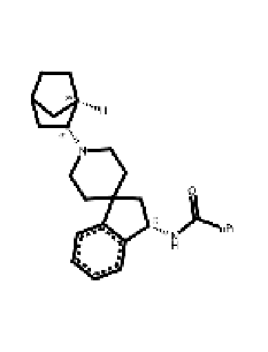 CCCC(=O)N[C@H]1CC2(CCN([C@@H]3CC4CC[C@@H]3C4)CC2)c2ccccc21